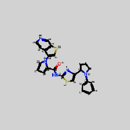 O=C(Nc1nc(C2CCCN2c2ccccc2)cs1)c1cccn1-c1csc2cnccc12